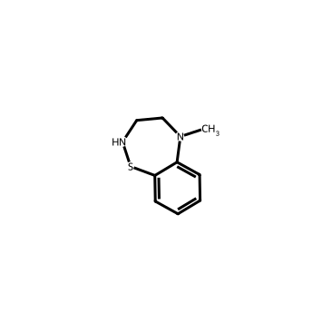 CN1CCNSc2ccccc21